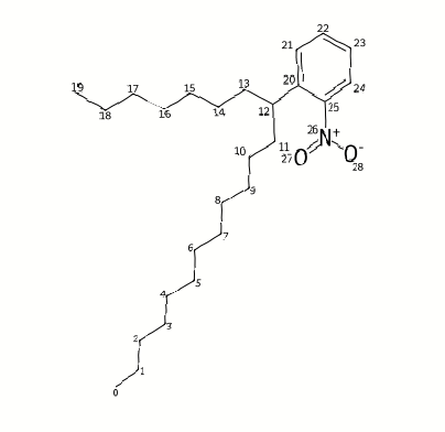 CCCCCCCCCCCCC(CCCCCCC)c1ccccc1[N+](=O)[O-]